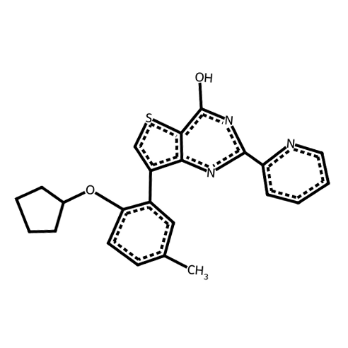 Cc1ccc(OC2CCCC2)c(-c2csc3c(O)nc(-c4ccccn4)nc23)c1